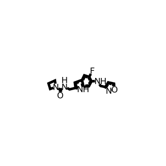 O=C(NCc1cc2cc(F)c(NCc3ccon3)cc2[nH]1)N1CCC1